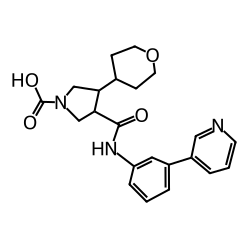 O=C(Nc1cccc(-c2cccnc2)c1)C1CN(C(=O)O)CC1C1CCOCC1